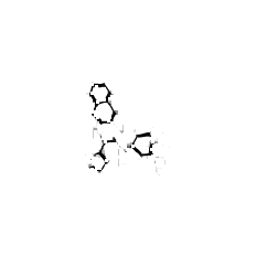 COc1ccc(Nc2nc3cc4ccccc4cc3nc2-c2cccs2)cc1OC